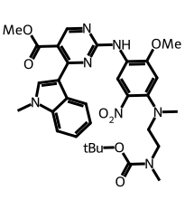 COC(=O)c1cnc(Nc2cc([N+](=O)[O-])c(N(C)CCN(C)C(=O)OC(C)(C)C)cc2OC)nc1-c1cn(C)c2ccccc12